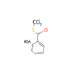 O=C(SC(Cl)(Cl)Cl)c1ccccc1.[KH]